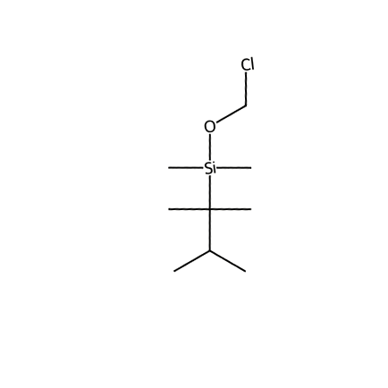 CC(C)C(C)(C)[Si](C)(C)OCCl